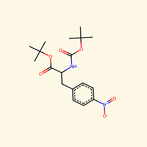 CC(C)(C)OC(=O)NC(Cc1ccc([N+](=O)[O-])cc1)C(=O)OC(C)(C)C